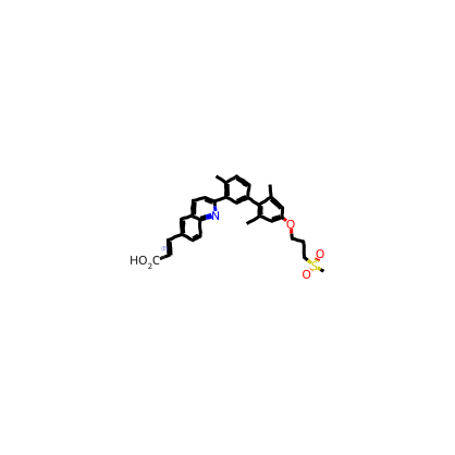 Cc1ccc(-c2c(C)cc(OCCCS(C)(=O)=O)cc2C)cc1-c1ccc2cc(/C=C/C(=O)O)ccc2n1